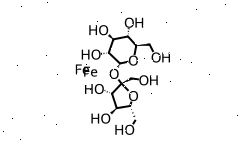 OC[C@H]1O[C@@](CO)(O[C@H]2O[C@H](CO)[C@@H](O)[C@H](O)[C@H]2O)[C@@H](O)[C@@H]1O.[Fe].[Fe]